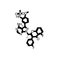 COc1ccc(-c2nn([C@@H](C)c3oc4cccc(F)c4c(=O)c3-c3cccc(F)c3)c3ncnc(N)c23)cc1NS(C)(=O)=O